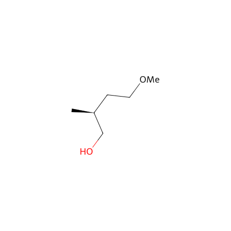 COCC[C@H](C)CO